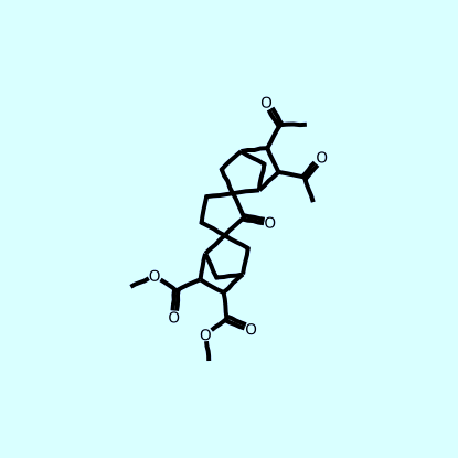 COC(=O)C1C2CC(C1C(=O)OC)C1(CCC3(CC4CC3C(C(C)=O)C4C(C)=O)C1=O)C2